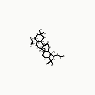 CCCC[C@@]1(C)C(C(C)(C)C)CC[C@]2(C)C1CC=C1C3CC(C)(C)CC[C@]3(C(=O)O)CC[C@]12C